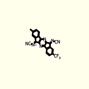 Cc1ccc2c(c1)/c(=N\C#N)c1nc3c(nc12)/c(=N/C#N)c1cc(C(F)(F)F)ccc13